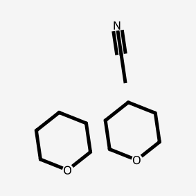 C1CCOCC1.C1CCOCC1.CC#N